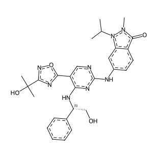 CC(C)n1c2cc(Nc3ncc(-c4nc(C(C)(C)O)no4)c(N[C@H](CO)c4ccccc4)n3)ccc2c(=O)n1C